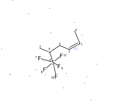 C/C=C\CC(C)S(F)(F)(F)(F)F